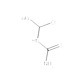 CCCC(Cl)NC(N)=S